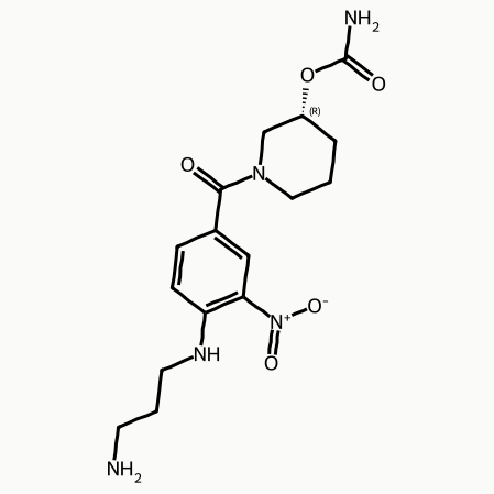 NCCCNc1ccc(C(=O)N2CCC[C@@H](OC(N)=O)C2)cc1[N+](=O)[O-]